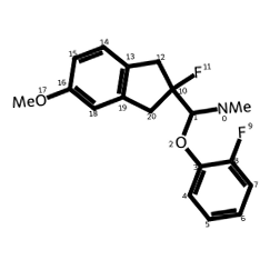 CNC(Oc1ccccc1F)C1(F)Cc2ccc(OC)cc2C1